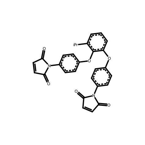 CC(C)c1cccc(Oc2ccc(N3C(=O)C=CC3=O)cc2)c1Oc1ccc(N2C(=O)C=CC2=O)cc1